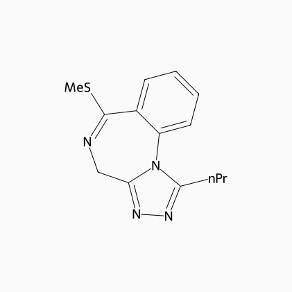 CCCc1nnc2n1-c1ccccc1C(SC)=NC2